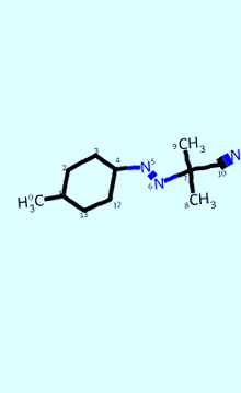 CC1CCC(/N=N/C(C)(C)C#N)CC1